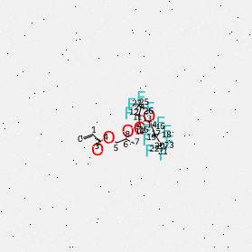 C=CC(=O)OCC(C)OC(=O)C(F)(OC(F)(F)C(F)(F)C(F)(F)F)C(F)(F)F